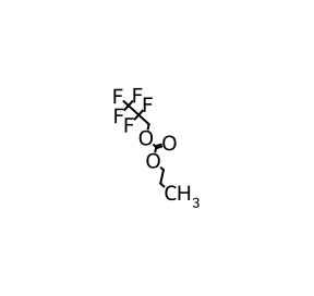 CCCOC(=O)OCC(F)(F)C(F)(F)F